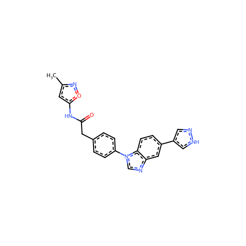 Cc1cc(NC(=O)Cc2ccc(-n3cnc4cc(-c5cn[nH]c5)ccc43)cc2)on1